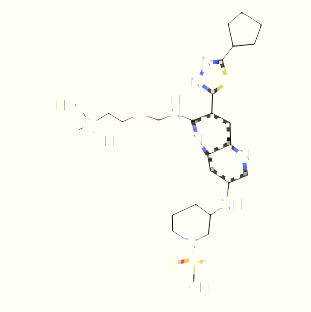 C[Si](C)(C)CCOCNc1nc2cc(NC3CCCN(S(C)(=O)=O)C3)cnc2cc1-c1nnc(C2CCCC2)s1